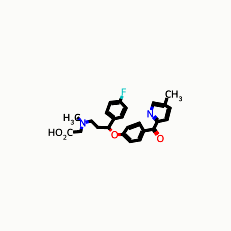 Cc1ccc(C(=O)c2ccc(OC(CCN(C)CC(=O)O)c3ccc(F)cc3)cc2)nc1